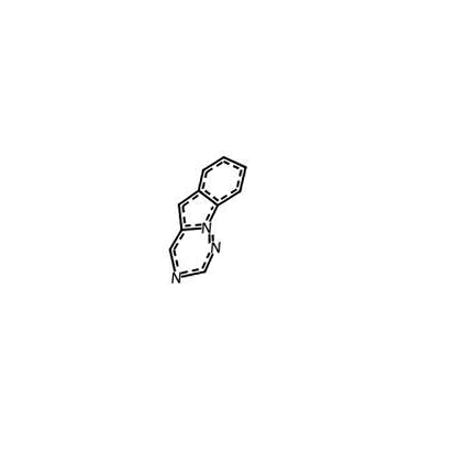 c1ccc2c(c1)cc1cncnn12